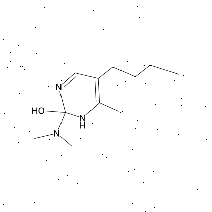 CCCCC1=C(C)NC(O)(N(C)C)N=C1